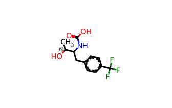 C[C@H](O)C(Cc1ccc(C(F)(F)F)cc1)NC(=O)O